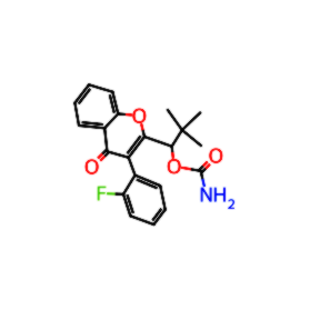 CC(C)(C)C(OC(N)=O)c1oc2ccccc2c(=O)c1-c1ccccc1F